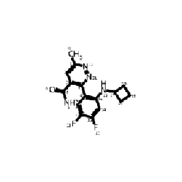 Cc1cc(C(N)=O)c(-c2cc(F)c(F)cc2NC2CCC2)nn1